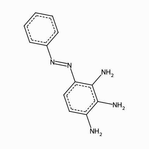 Nc1ccc(N=Nc2ccccc2)c(N)c1N